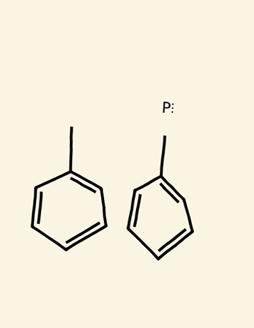 Cc1ccccc1.Cc1ccccc1.[P]